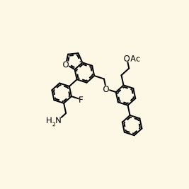 CC(=O)OCCc1ccc(-c2ccccc2)cc1OCc1cc(-c2cccc(CN)c2F)c2occc2c1